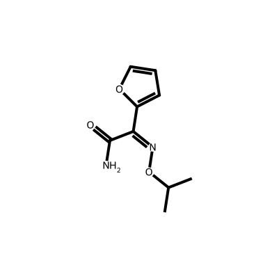 CC(C)ON=C(C(N)=O)c1ccco1